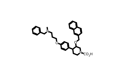 CN(CCCOc1ccc(C2CCN(C(=O)O)CC2OCc2ccc3ccccc3c2)cc1)Cc1ccccc1